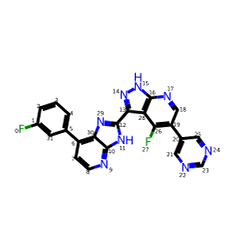 Fc1cccc(-c2ccnc3[nH]c(-c4n[nH]c5ncc(-c6cncnc6)c(F)c45)nc23)c1